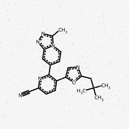 Cc1nnc2cc(-c3nc(C#N)ccc3-c3cnc(CC(C)(C)C)o3)ccn12